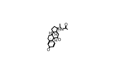 CC(=O)NC(C)[C@H]1CC[C@H]2[C@@H]3CCC4=CC(=O)C=C[C@]4(C)[C@H]3C(=O)C[C@]12C